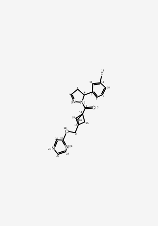 O=C(N1N=CCC1c1cccc(F)c1)C12CC(COc3cnccn3)(C1)C2